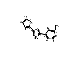 Fc1cccc(-c2ncc(-c3cccs3)s2)c1